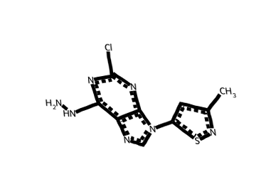 Cc1cc(-n2cnc3c(NN)nc(Cl)nc32)sn1